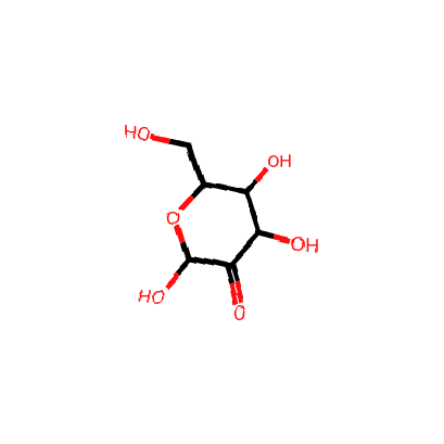 O=C1C(O)OC(CO)C(O)C1O